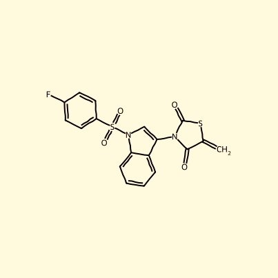 C=C1SC(=O)N(c2cn(S(=O)(=O)c3ccc(F)cc3)c3ccccc23)C1=O